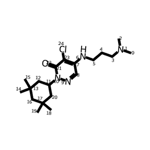 CN(C)CCCNc1cnn(C2CC(C)(C)CC(C)(C)C2)c(=O)c1Cl